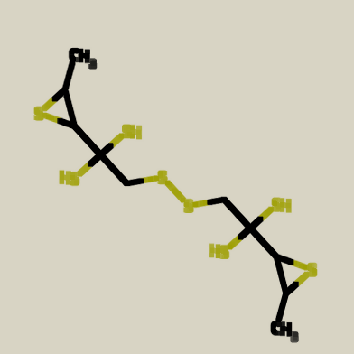 CC1SC1C(S)(S)CSSCC(S)(S)C1SC1C